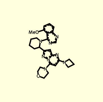 COc1cccc2ncnc(N3CCCCC3c3cc4nc(N5CCC5)cc(N5CCOCC5)n4n3)c12